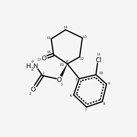 NC(=O)O[C@]1(c2ccccc2Cl)CCCCC1=O